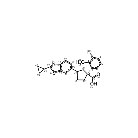 Cc1c(F)cccc1[C@]1(C(=O)O)CCC(c2ccc3nc(C4CC4)sc3c2)C1